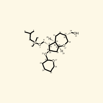 CC(C)C[Si](C)(C)OC[C@@H]1[C@H]2CC[C@H](CO)CO[C@H]2C[C@H]1OC1CCCCO1